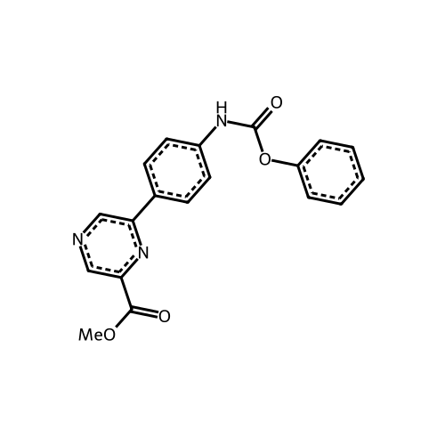 COC(=O)c1cncc(-c2ccc(NC(=O)Oc3ccccc3)cc2)n1